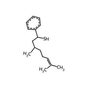 CC(C)=CCCC(C)CC(S)c1ccccc1